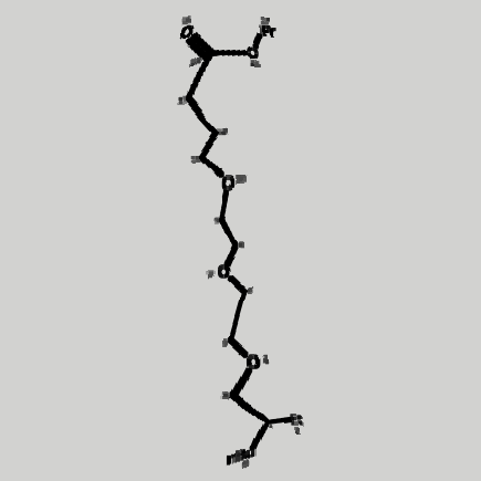 CCCCC(CC)COCCOCCOCCCC(=O)OC(C)C